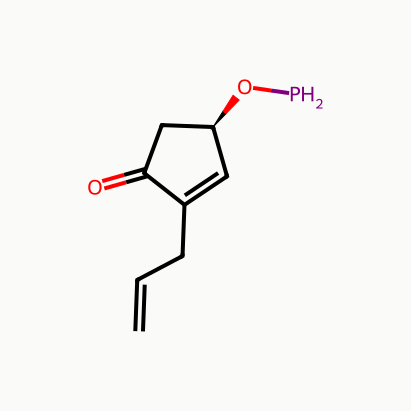 C=CCC1=C[C@H](OP)CC1=O